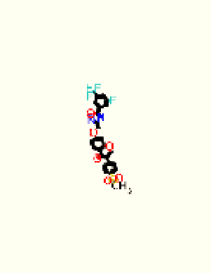 CS(=O)(=O)c1ccc(-c2coc3cc(OCc4noc(-c5cc(F)cc(C(F)(F)F)c5)n4)ccc3c2=O)cc1